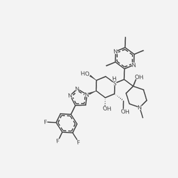 Cc1nc(C)c(C([SH]2C[C@H](O)[C@H](n3cc(-c4cc(F)c(F)c(F)c4)nn3)[C@@H](O)[C@H]2CO)C2(O)CCN(C)CC2)nc1C